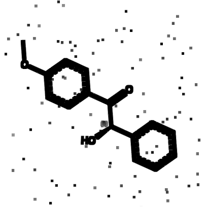 COc1ccc(C(=O)[C@H](O)c2ccccc2)cc1